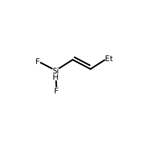 CCC=C[SiH](F)F